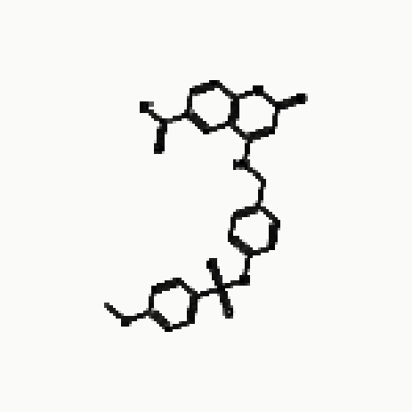 COc1ccc(S(=O)(=O)Oc2ccc(CNc3cc(=O)oc4ccc([N+](=O)[O-])cc34)cc2)cc1